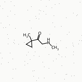 CNCC(=O)C1(C)CC1